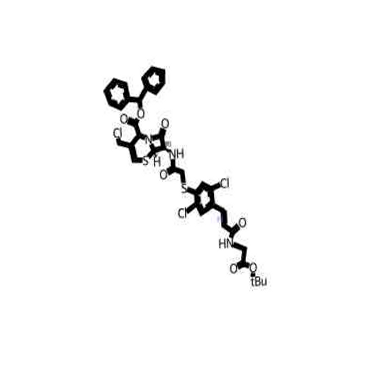 CC(C)(C)OC(=O)CNC(=O)/C=C/c1cc(Cl)c(SCC(=O)N[C@@H]2C(=O)N3C(C(=O)OC(c4ccccc4)c4ccccc4)C(CCl)=CS[C@H]23)cc1Cl